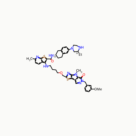 CC[C@H]1CN(c2ccc3c(c2)CC[C@H](NC(=O)c2sc4nc(C)ccc4c2NCCCCOCc2nc4c(s2)c2cnn(Cc5cccc(OC)c5)c(=O)c2n4C)C3)CCN1